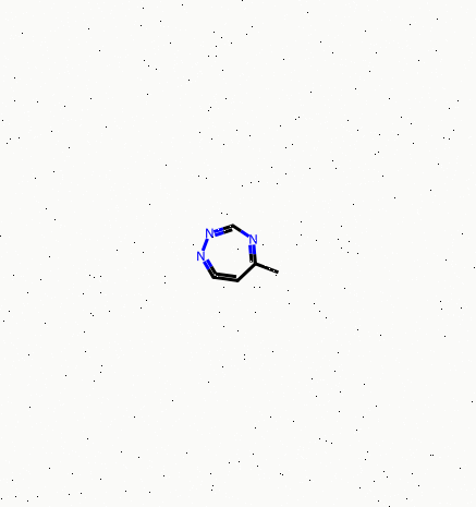 CC1=NC=NN=C=C1